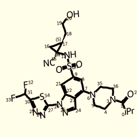 CC(C)C(=O)N1CCN(c2cc(S(=O)(=O)N[C@@]3(C#N)C[C@H]3CCO)cc3c2cnn3-c2nnc(C(F)F)s2)CC1